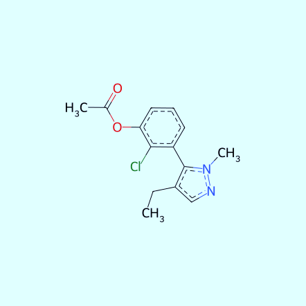 CCc1cnn(C)c1-c1cccc(OC(C)=O)c1Cl